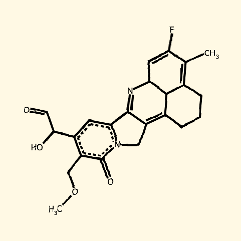 COCc1c(C(O)C=O)cc2n(c1=O)CC1=C3CCCC4=C(C)C(F)=CC(N=C12)C43